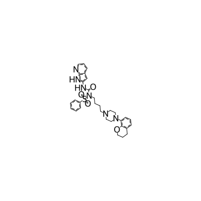 O=C(Nc1cc2cccnc2[nH]1)N(CCCCN1CCN(c2cccc3c2OCCC3)CC1)S(=O)(=O)c1ccccc1